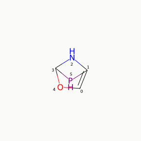 C1=C2NC(O1)P2